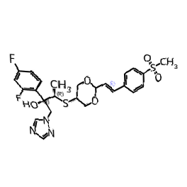 C[C@@H](SC1COC(/C=C/c2ccc(S(C)(=O)=O)cc2)OC1)[C@](O)(Cn1cncn1)c1ccc(F)cc1F